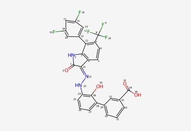 O=C1Nc2c(ccc(C(F)(F)F)c2-c2cc(F)cc(F)c2)C1=NNc1cccc(-c2cccc(C(=O)O)c2)c1O